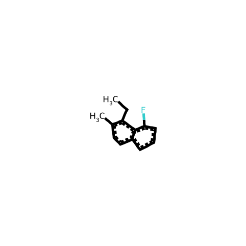 CCc1c(C)ccc2cccc(F)c12